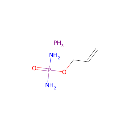 C=CCOP(N)(N)=O.P